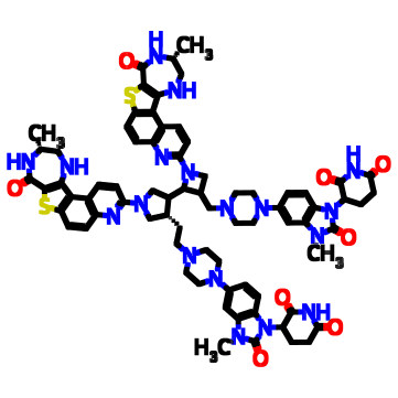 C[C@@H]1CNc2c(sc3ccc4nc(N5CC(C6C(CN7CCN(c8ccc9c(c8)n(C)c(=O)n9C8CCC(=O)NC8=O)CC7)CN6c6ccc7c(ccc8sc9c(c87)NC[C@@H](C)NC9=O)n6)[C@H](CCN6CCN(c7ccc8c(c7)n(C)c(=O)n8C7CCC(=O)NC7=O)CC6)C5)ccc4c23)C(=O)N1